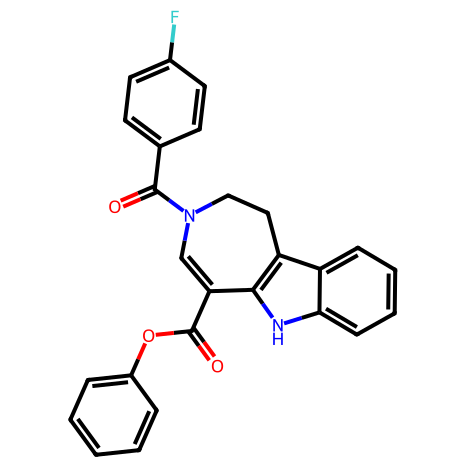 O=C(Oc1ccccc1)C1=CN(C(=O)c2ccc(F)cc2)CCc2c1[nH]c1ccccc21